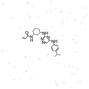 C=CC(=O)N[C@@H]1CCC[C@@H](Nc2nncc(Nc3ccc(C(C)C)cc3)n2)C1